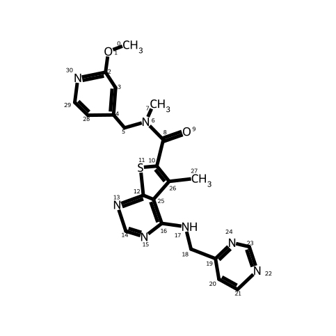 COc1cc(CN(C)C(=O)c2sc3ncnc(NCc4ccncn4)c3c2C)ccn1